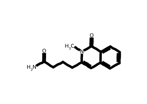 Cn1c(CCCC(N)=O)cc2ccccc2c1=O